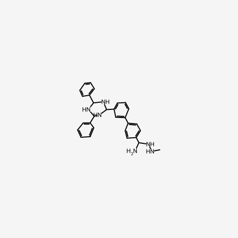 CNNC(N)c1ccc(-c2cccc(C3NC(c4ccccc4)NC(c4ccccc4)N3)c2)cc1